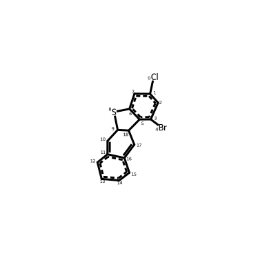 Clc1cc(Br)c2c(c1)SC1C=c3ccccc3=CC21